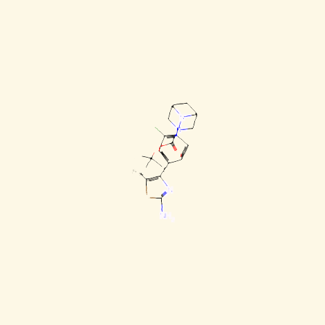 Cc1sc(N)nc1-c1ccc(N2C3CC2CN(C(=O)OC(C)(C)C)C3)c(F)c1